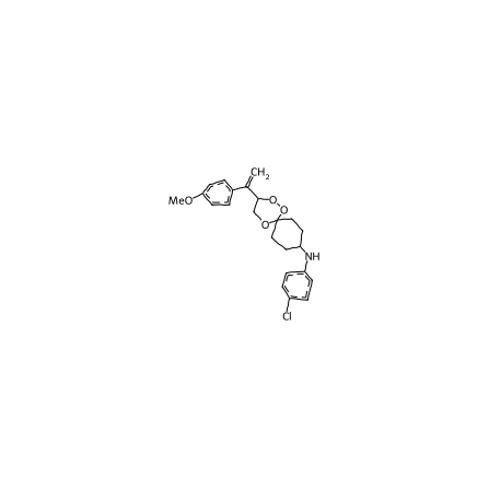 C=C(c1ccc(OC)cc1)C1COC2(CCC(Nc3ccc(Cl)cc3)CC2)OO1